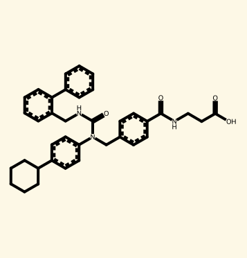 O=C(O)CCNC(=O)c1ccc(CN(C(=O)NCc2ccccc2-c2ccccc2)c2ccc(C3CCCCC3)cc2)cc1